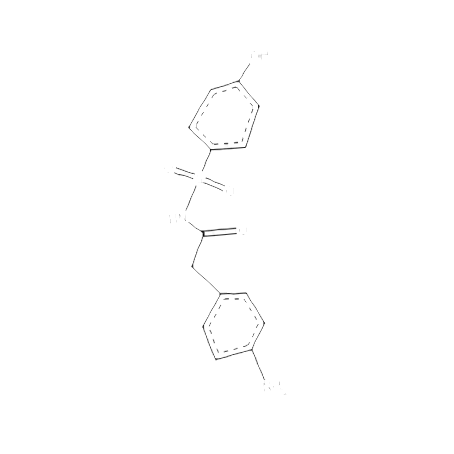 Nc1ccc(CC(=O)NS(=O)(=O)c2ccc(O)cc2)cc1